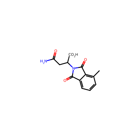 Cc1cccc2c1C(=O)N(C(CC(N)=O)C(=O)O)C2=O